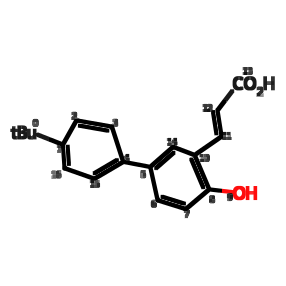 CC(C)(C)c1ccc(-c2ccc(O)c(C=CC(=O)O)c2)cc1